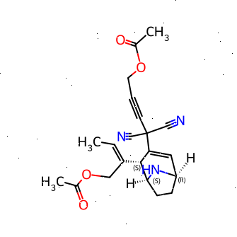 CC=C(COC(C)=O)[C@@H]1C(C(C#N)(C#N)C#CCOC(C)=O)=C[C@H]2CC[C@@H]1N2